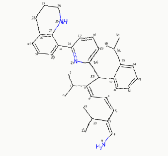 CC(C)/C(=C/C=C\C(=C\N)C(C)C)C(c1cccc(-c2cccc3c2NCCC3)n1)c1ccccc1C(C)C